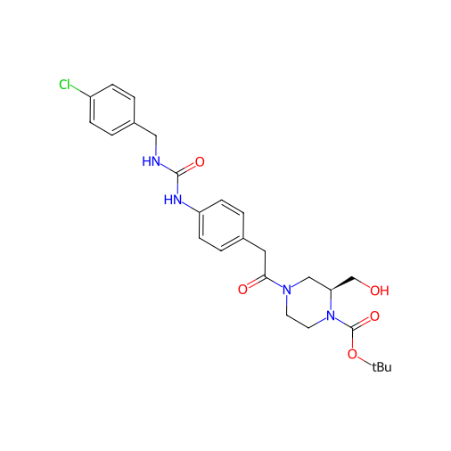 CC(C)(C)OC(=O)N1CCN(C(=O)Cc2ccc(NC(=O)NCc3ccc(Cl)cc3)cc2)C[C@H]1CO